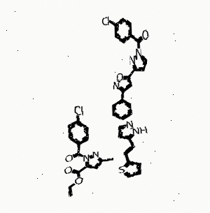 C(=Cc1cccs1)c1ccn[nH]1.CCOC(=O)c1cc(C)nn1C(=O)c1ccc(Cl)cc1.O=C(c1ccc(Cl)cc1)n1ccc(-c2cc(-c3ccccc3)no2)n1